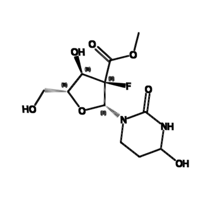 COC(=O)[C@@]1(F)[C@H](O)[C@@H](CO)O[C@H]1N1CCC(O)NC1=O